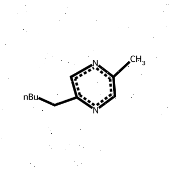 [CH2]CCCCc1cnc(C)cn1